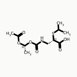 CC(=O)O[C@@H](C)OC(=O)NC[C@H](SC(C)C)C(=O)O